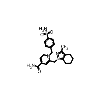 NC(=O)C1=CCN(Cc2ccc(S(N)(=O)=O)cc2)C(Cn2nc(C(F)(F)F)c3c2CCCC3)=C1